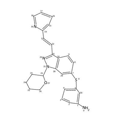 Nc1cccc(Sc2ccc3c(C=Cc4ccccn4)nn(C4CCCCO4)c3c2)c1